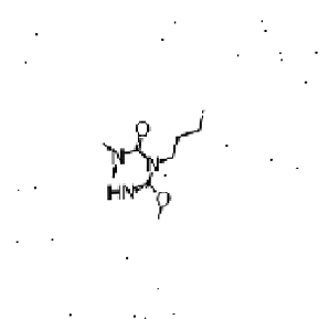 CCCCN(C(=N)OC)C(=O)N(C)C